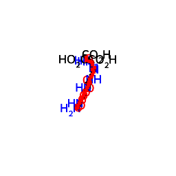 NOCC(=O)NCCOCCOCCOCCNC(=O)c1ccc(C(=O)NCCCCCCc2cn(CCCCC(NC(=O)NC(CCC(=O)O)C(=O)O)C(=O)O)nn2)cc1